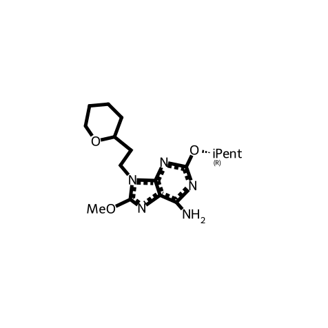 CCC[C@@H](C)Oc1nc(N)c2nc(OC)n(CCC3CCCCO3)c2n1